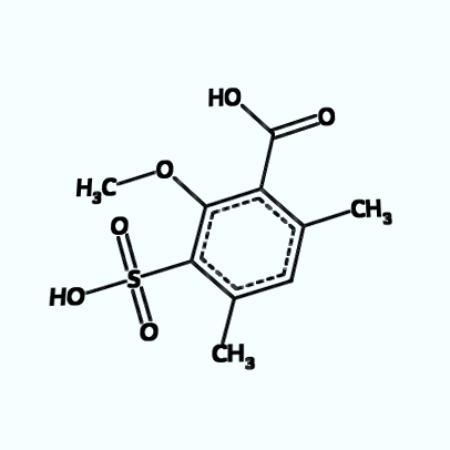 COc1c(C(=O)O)c(C)cc(C)c1S(=O)(=O)O